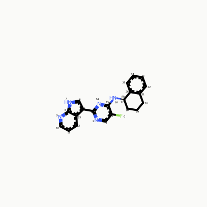 Fc1cnc(-c2c[nH]c3ncccc23)nc1N[C@@H]1CCCc2ccccc21